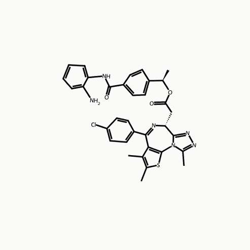 Cc1sc2c(c1C)C(c1ccc(Cl)cc1)=N[C@H](CC(=O)O[C@H](C)c1ccc(C(=O)Nc3ccccc3N)cc1)c1nnc(C)n1-2